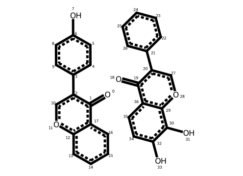 O=c1c(-c2ccc(O)cc2)coc2ccccc12.O=c1c(-c2ccccc2)coc2c(O)c(O)ccc12